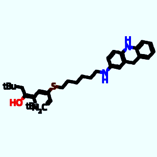 C=C/C(=C\C(=C(\O)CC(C)(C)C)C(C)(C)C)SCCCCCCNc1ccc2c(c1)Cc1ccccc1N2